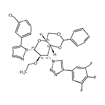 CCO[C@@H]1[C@@H](n2cc(-c3cc(F)c(F)c(F)c3)nn2)[C@H]2OC(c3ccccc3)OC[C@H]2O[C@H]1n1nncc1-c1cccc(Cl)c1